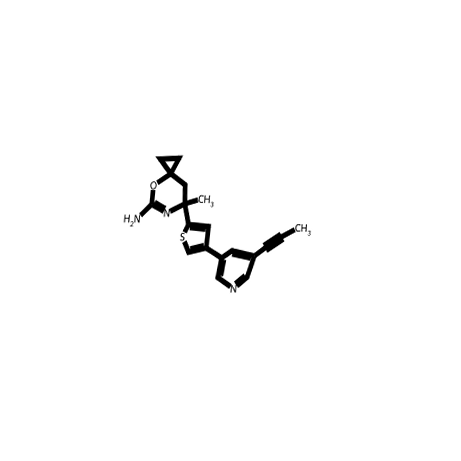 CC#Cc1cncc(-c2csc(C3(C)CC4(CC4)OC(N)=N3)c2)c1